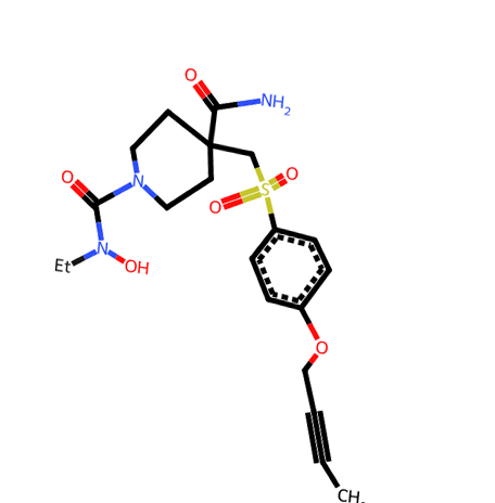 CC#CCOc1ccc(S(=O)(=O)CC2(C(N)=O)CCN(C(=O)N(O)CC)CC2)cc1